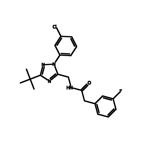 CC(C)(C)c1nc(CNC(=O)Cc2cccc(F)c2)n(-c2cccc(Cl)c2)n1